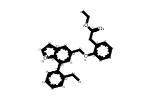 CCOC(=O)Cc1ccccc1OCc1cc(-c2ccccc2CC)c2occc2c1